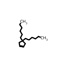 CCCCCCC1(CCCCCC)CC=CC1